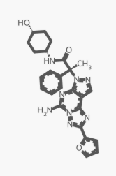 C[C@](C(=O)N[C@H]1CC[C@@H](O)CC1)(c1ccccc1)n1ncc2c1nc(N)n1nc(-c3ccco3)nc21